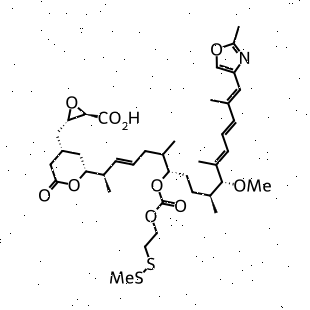 CO[C@@H](/C(C)=C/C=C/C(C)=C/c1coc(C)n1)[C@@H](C)CC[C@H](OC(=O)OCCSSC)C(C)C/C=C/[C@@H](C)[C@H]1C[C@@H](C[C@@H]2O[C@H]2C(=O)O)CC(=O)O1